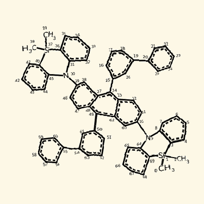 C[Si]1(C)c2ccccc2N(c2ccc3c(-c4cccc(-c5ccccc5)c4)c4cc(N5c6ccccc6[Si](C)(C)c6ccccc65)ccc4c(-c4cccc(-c5ccccc5)c4)c3c2)c2ccccc21